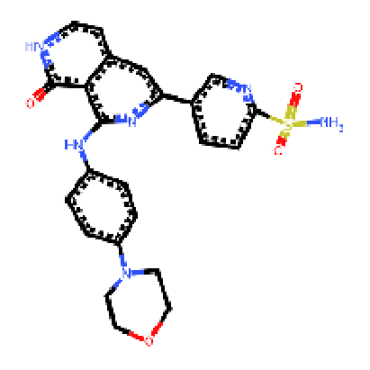 NS(=O)(=O)c1ccc(-c2cc3cc[nH]c(=O)c3c(Nc3ccc(N4CCOCC4)cc3)n2)cn1